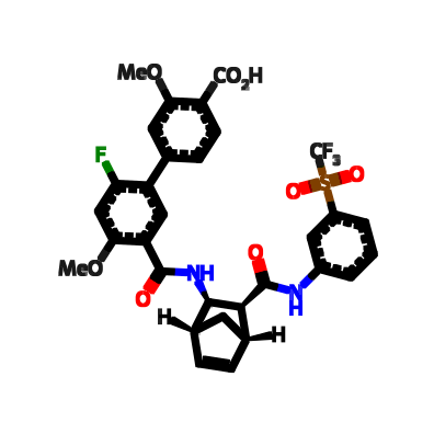 COc1cc(-c2cc(C(=O)N[C@H]3[C@@H](C(=O)Nc4cccc(S(=O)(=O)C(F)(F)F)c4)[C@@H]4C=C[C@H]3C4)c(OC)cc2F)ccc1C(=O)O